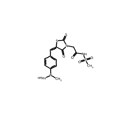 CCCCCCN(C)c1ccc(C=C2SC(=S)N(CC(=O)NS(C)(=O)=O)C2=O)cc1